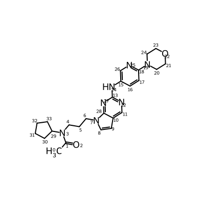 CC(=O)N(CCCn1ccc2cnc(Nc3ccc(N4CCOCC4)nc3)nc21)C1CCCC1